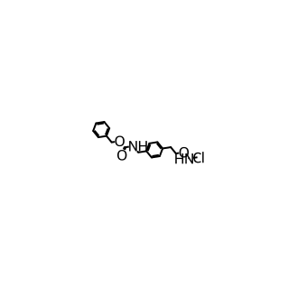 O=C(NCc1ccc(CCONCl)cc1)OCc1ccccc1